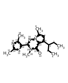 CCC(CC)c1cc(C)n2nc(-c3sc(C)nc3C)n(C)c(=O)c12